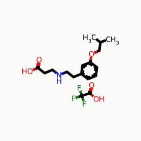 CC(C)COc1cccc(CCNCCC(=O)O)c1.O=C(O)C(F)(F)F